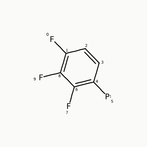 Fc1ccc([P])c(F)c1F